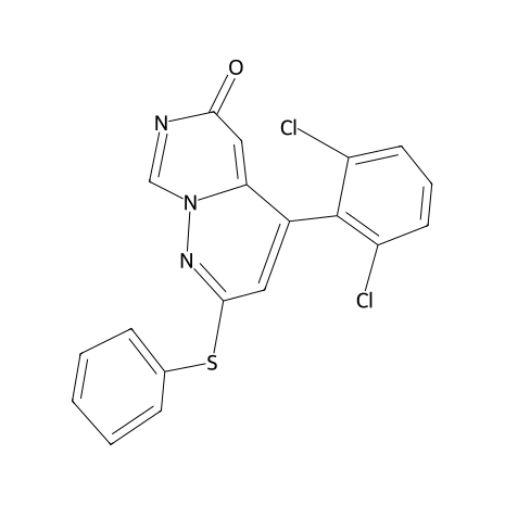 O=c1cc2c(-c3c(Cl)cccc3Cl)cc(Sc3ccccc3)nn2cn1